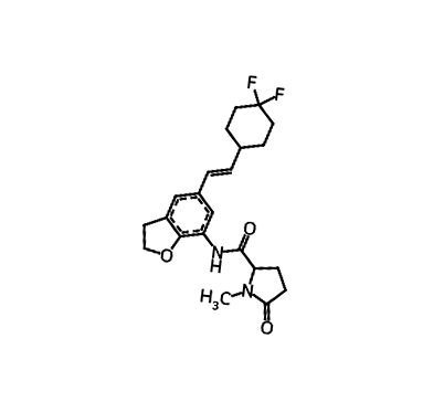 CN1C(=O)CCC1C(=O)Nc1cc(C=CC2CCC(F)(F)CC2)cc2c1OCC2